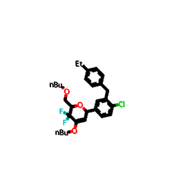 CCCCOCC1OC(c2ccc(Cl)c(Cc3ccc(CC)cc3)c2)C=C(OCCCC)C1(F)F